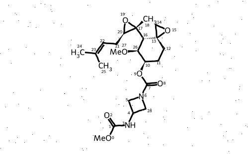 COC(=O)NC1CN(C(=O)O[C@@H]2CC[C@]3(CO3)[C@@H]([C@@]3(C)O[C@@H]3CC=C(C)C)[C@@H]2OC)C1